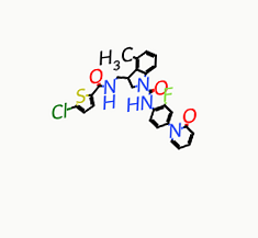 Cc1cccc2c1C(CNC(=O)c1ccc(Cl)s1)CN2C(=O)Nc1ccc(-n2ccccc2=O)cc1F